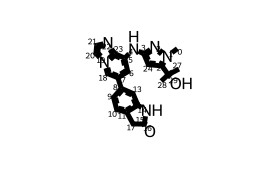 Cn1nc(Nc2cc(-c3ccc4c(c3)NC(=O)C4)cn3ccnc23)cc1C(C)(C)O